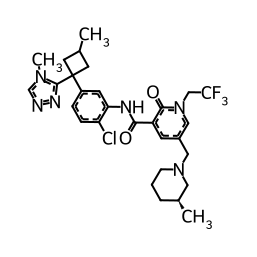 CC1CC(c2ccc(Cl)c(NC(=O)c3cc(CN4CCC[C@H](C)C4)cn(CC(F)(F)F)c3=O)c2)(c2nncn2C)C1